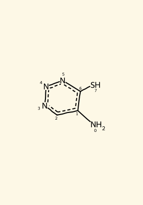 Nc1cnnnc1S